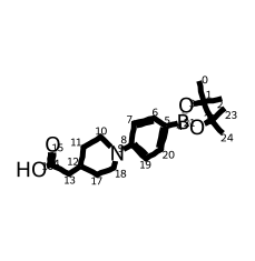 CC1(C)OB(c2ccc(N3CCC(CC(=O)O)CC3)cc2)OC1(C)C